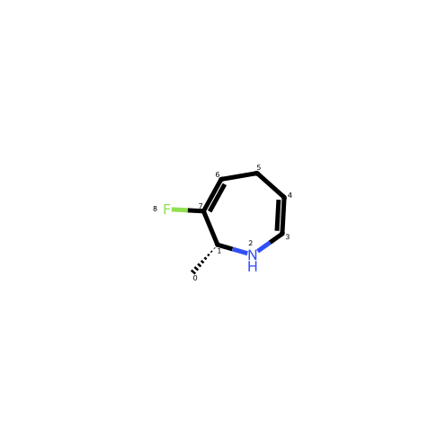 C[C@H]1NC=CCC=C1F